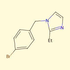 CCc1nccn1Cc1ccc(Br)cc1